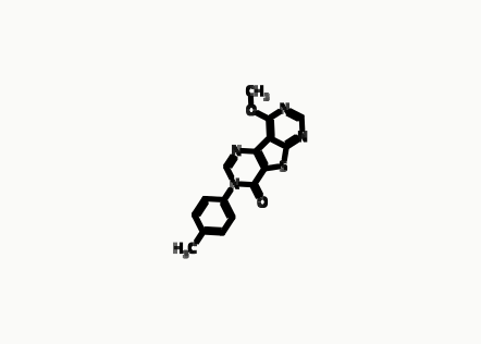 COc1ncnc2sc3c(=O)n(-c4ccc(C)cc4)cnc3c12